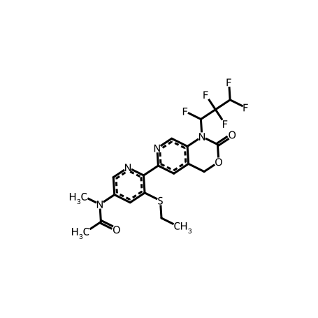 CCSc1cc(N(C)C(C)=O)cnc1-c1cc2c(cn1)N(C(F)C(F)(F)C(F)F)C(=O)OC2